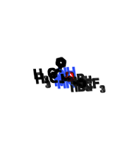 CCCCC(CCCC)(NC(=O)c1cnn2c1NC(c1ccccc1)CC2(C)C)c1ccc(C(F)(F)F)cc1